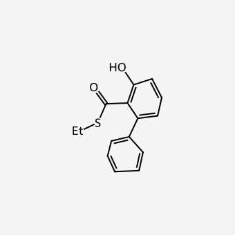 CCSC(=O)c1c(O)cccc1-c1ccccc1